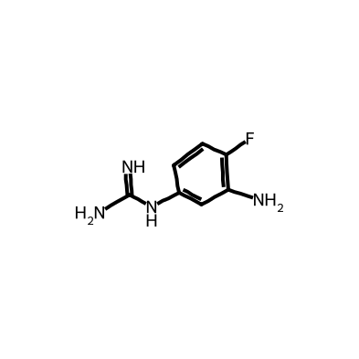 N=C(N)Nc1ccc(F)c(N)c1